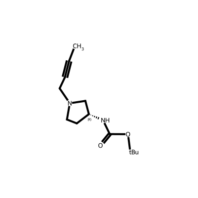 CC#CCN1CC[C@@H](NC(=O)OC(C)(C)C)C1